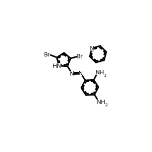 Nc1ccc(N=Nc2[nH]c(Br)cc2Br)c(N)c1.c1ccncc1